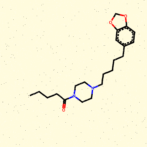 [CH2]CCCC(=O)N1CCN(CCCCCc2ccc3c(c2)OCO3)CC1